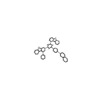 c1ccc(-c2cc(-c3nc(-c4ccc(-c5ccc6ccccc6c5)cc4)nc(-c4cccc5sc6ccccc6c45)n3)cc3oc4ccccc4c23)cc1